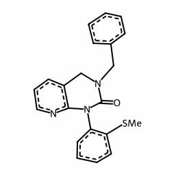 CSc1ccccc1N1C(=O)N(Cc2ccccc2)Cc2cccnc21